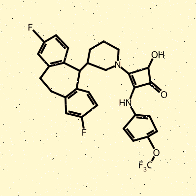 O=C1C(Nc2ccc(OC(F)(F)F)cc2)=C(N2CCCC(C3c4ccc(F)cc4CCc4cc(F)ccc43)C2)C1O